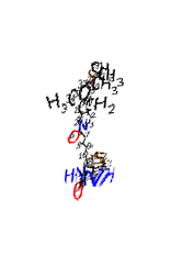 C=C1CCN(C(=O)CCCC[C@@H]2SCC3NC(=O)NC32)C/C1=C/c1ccc(SC(C)(C)C)cc1C